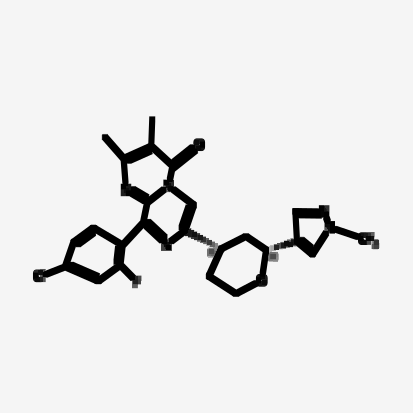 Cc1nc2c(-c3ccc(Cl)cc3F)nc([C@H]3CCO[C@@H](c4cnn(C(F)(F)F)c4)C3)cn2c(=O)c1C